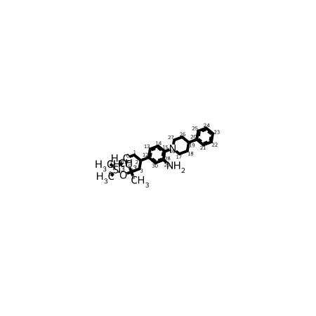 CCC(CC(C)(C)O[Si](C)(C)C)c1ccc(N2CCC(c3ccccc3)CC2)c(N)c1